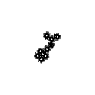 c1ccc(C2(c3ccccc3)c3ccccc3N(c3ccc(-c4nc(-c5cc(-c6ccccn6)cc(-c6ccccn6)c5)ns4)cc3)c3ccccc32)cc1